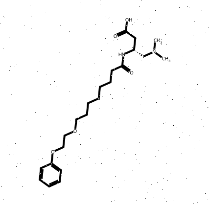 CN(C)C[C@@H](CC(=O)O)NC(=O)CCCCCCCOCCOc1ccccc1